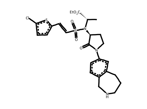 CCOC(=O)[C@H](C)N([C@H]1CCN(c2ccc3c(c2)CCCNC3)C1=O)S(=O)(=O)C=Cc1ccc(Cl)s1